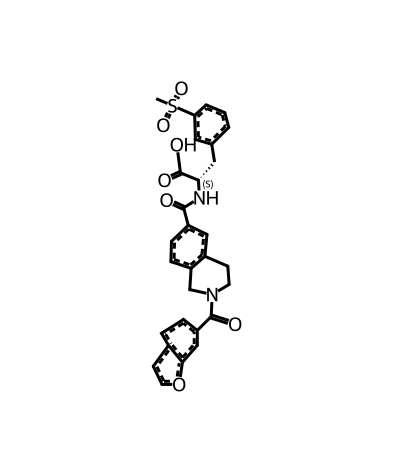 CS(=O)(=O)c1cccc(C[C@H](NC(=O)c2ccc3c(c2)CCN(C(=O)c2ccc4ccoc4c2)C3)C(=O)O)c1